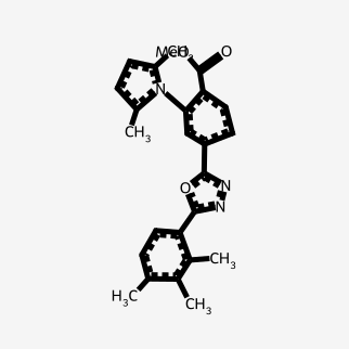 COC(=O)c1ccc(-c2nnc(-c3ccc(C)c(C)c3C)o2)cc1-n1c(C)ccc1C